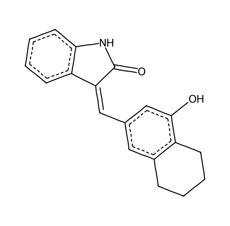 O=C1Nc2ccccc2/C1=C/c1cc(O)c2c(c1)CCCC2